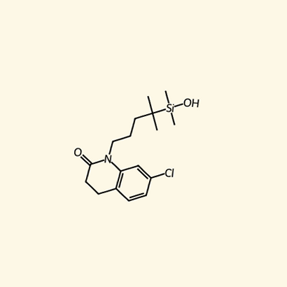 CC(C)(CCCN1C(=O)CCc2ccc(Cl)cc21)[Si](C)(C)O